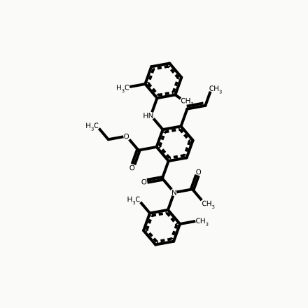 C/C=C/c1ccc(C(=O)N(C(C)=O)c2c(C)cccc2C)c(C(=O)OCC)c1Nc1c(C)cccc1C